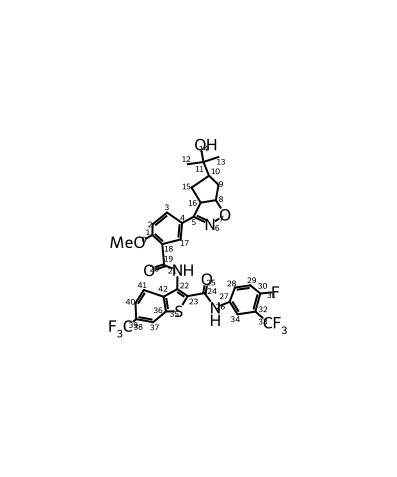 COc1ccc(C2=NOC3CC(C(C)(C)O)CC23)cc1C(=O)Nc1c(C(=O)Nc2ccc(F)c(C(F)(F)F)c2)sc2cc(C(F)(F)F)ccc12